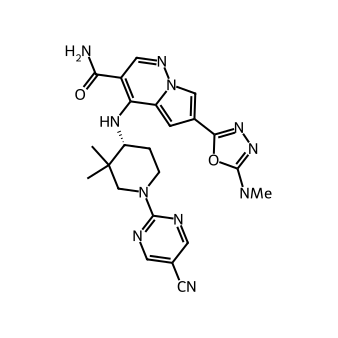 CNc1nnc(-c2cc3c(N[C@@H]4CCN(c5ncc(C#N)cn5)CC4(C)C)c(C(N)=O)cnn3c2)o1